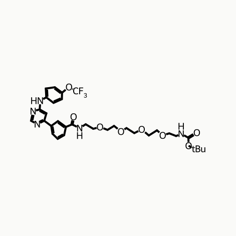 CC(C)(C)OC(=O)NCCOCCOCCOCCOCCNC(=O)c1cccc(-c2cc(Nc3ccc(OC(F)(F)F)cc3)ncn2)c1